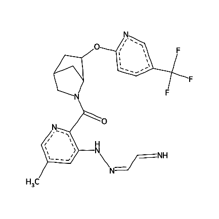 Cc1cnc(C(=O)N2CC3CC(Oc4ccc(C(F)(F)F)cn4)C2C3)c(N/N=C\C=N)c1